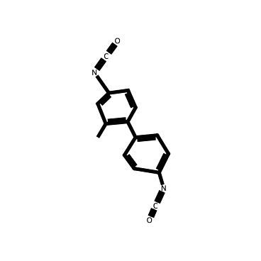 Cc1cc(N=C=O)ccc1-c1ccc(N=C=O)cc1